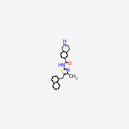 Cc1nc(NC(=O)c2ccc3c(c2)CCNC3)sc1Cc1cccc2ccccc12